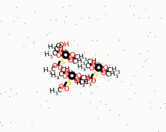 CO.COC(=O)CSc1c2c(cc3c1OC(C)(C)O3)OC(C)(C)O2.COC(=O)CSc1c2c(cc3c1OC(C)(C)O3)OC(C)(C)O2.COC(=O)CSc1c2c(cc3c1OC(C)(C)O3)OC(C)(C)O2